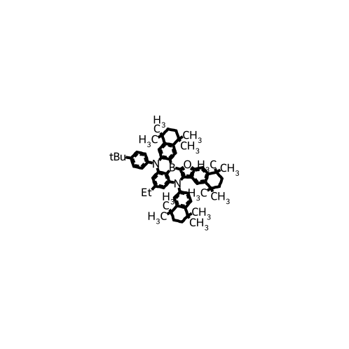 CCc1cc2c3c(c1)N(c1ccc4c(c1)C(C)(C)CCC4(C)C)c1c(oc4cc5c(cc14)C(C)(C)CCC5(C)C)B3c1cc3c(cc1N2c1ccc(C(C)(C)C)cc1)C(C)(C)CCC3(C)C